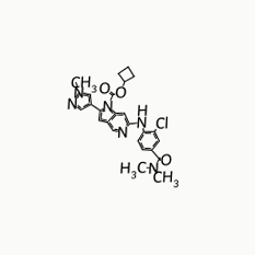 CN(C)C(=O)c1ccc(Nc2cc3c(cn2)cc(-c2cnn(C)c2)n3C(=O)OC2CCC2)c(Cl)c1